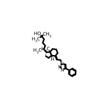 C[C@H](CCCC(C)(C)O)[C@H]1CC[C@H]2/C(=C/Cn3cc(-c4ccccc4)nn3)CCC[C@]12C